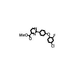 COC(=O)c1ccnc(-c2ccc(Oc3ccc(Cl)cc3F)cc2)n1